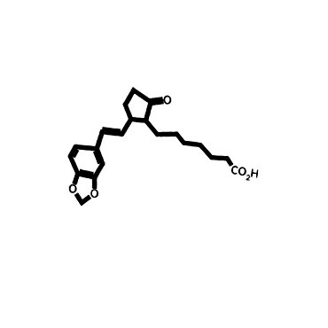 O=C(O)CCCCCCC1C(=O)CCC1C=Cc1ccc2c(c1)OCO2